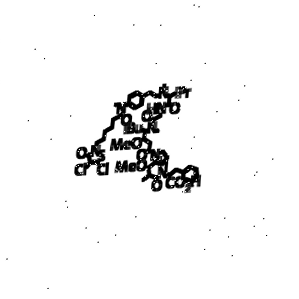 CCC(C)C(C(CC(=O)N1CCCC1C(OC)C(C)C(=O)NC(Cc1ccccc1)C(=O)O)OC)N(C)C(=O)CNC(=O)C(C(C)C)N(C)CCc1ccc(N(C)C(=O)CCCCCn2sc(Cl)c(Cl)c2=O)cc1